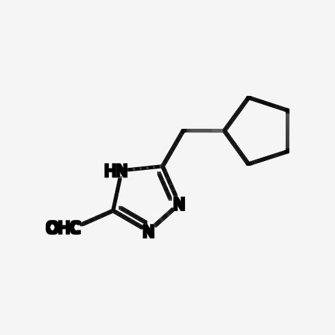 O=Cc1nnc(CC2CCCC2)[nH]1